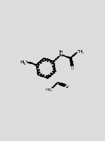 CC(=O)Nc1cccc(N)c1.O=CO